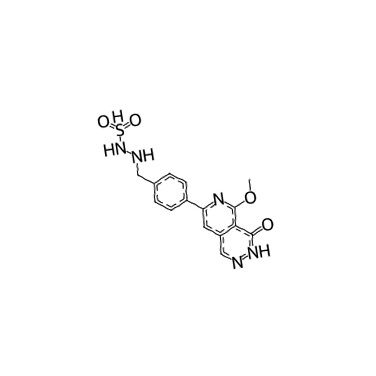 COc1nc(-c2ccc(CNN[SH](=O)=O)cc2)cc2cn[nH]c(=O)c12